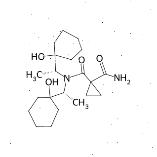 C[C@@H](N(C(=O)C1(C(N)=O)CC1)[C@H](C)C1(O)CCCCC1)C1(O)CCCCC1